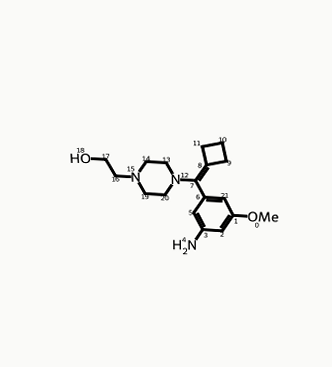 COc1cc(N)cc(C(=C2CCC2)N2CCN(CCO)CC2)c1